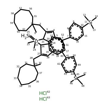 CC1(CC2=Cc3c(-c4ccc([Si](C)(C)C)cc4)cccc3[CH]2[Zr]([CH3])([CH3])(=[SiH2])[CH]2C(CC3(C)CCCCCCC3)=Cc3c(-c4ccc([Si](C)(C)C)cc4)cccc32)CCCCCCC1.Cl.Cl